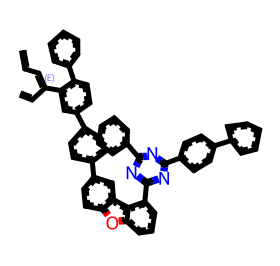 C=C/C=C(\C=C)c1cc(-c2ccc(-c3ccc4oc5cccc(-c6nc(-c7ccccc7)nc(-c7ccc(-c8ccccc8)cc7)n6)c5c4c3)cc2)ccc1-c1ccccc1